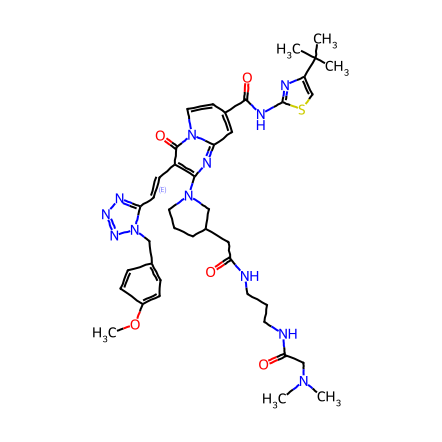 COc1ccc(Cn2nnnc2/C=C/c2c(N3CCCC(CC(=O)NCCCNC(=O)CN(C)C)C3)nc3cc(C(=O)Nc4nc(C(C)(C)C)cs4)ccn3c2=O)cc1